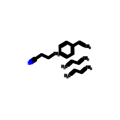 C=CC=C.C=CC=C.C=Cc1ccccc1.CCCC#N